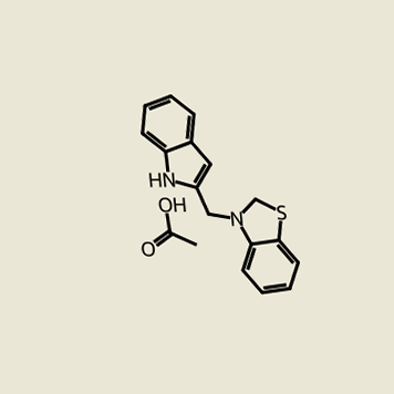 CC(=O)O.c1ccc2c(c1)SCN2Cc1cc2ccccc2[nH]1